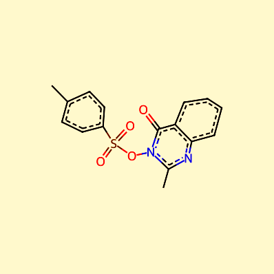 Cc1ccc(S(=O)(=O)On2c(C)nc3ccccc3c2=O)cc1